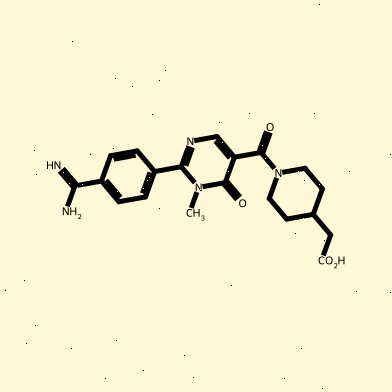 Cn1c(-c2ccc(C(=N)N)cc2)ncc(C(=O)N2CCC(CC(=O)O)CC2)c1=O